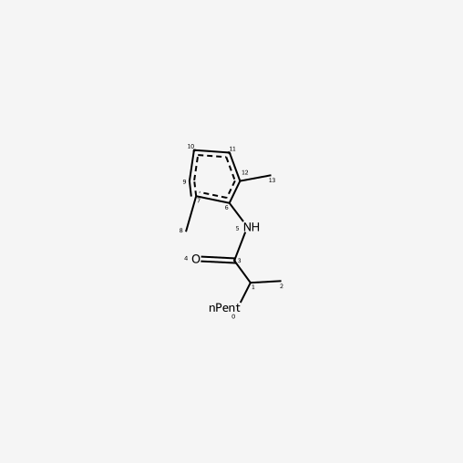 CCCCCC(C)C(=O)Nc1c(C)cccc1C